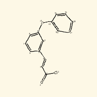 O=C(Cl)/C=C/c1cccc(Oc2ccccc2)c1